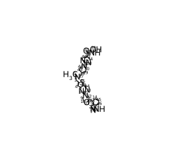 CN(Cc1cc2nc(N3CCOC(c4cccc5[nH]ncc45)C3)ncc2s1)CC1CCN(c2ncc(C(=O)NO)cn2)CC1